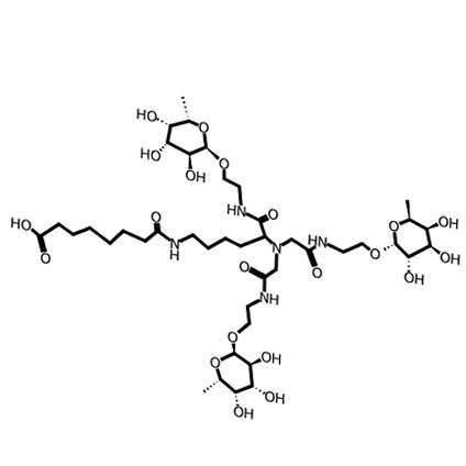 C[C@@H]1O[C@@H](OCCNC(=O)CN(CC(=O)NCCO[C@@H]2O[C@@H](C)[C@@H](O)[C@@H](O)[C@@H]2O)C(CCCCNC(=O)CCCCCCC(=O)O)C(=O)NCCO[C@@H]2O[C@@H](C)[C@@H](O)[C@@H](O)[C@@H]2O)[C@@H](O)[C@H](O)[C@@H]1O